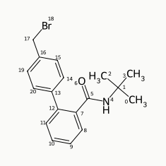 CC(C)(C)NC(=O)c1ccccc1-c1ccc(CBr)cc1